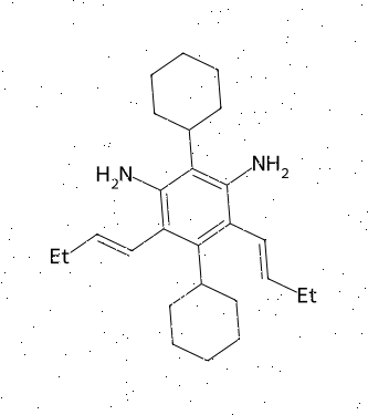 CCC=Cc1c(N)c(C2CCCCC2)c(N)c(C=CCC)c1C1CCCCC1